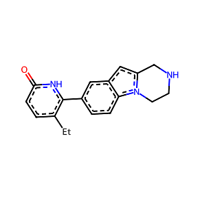 CCc1ccc(=O)[nH]c1-c1ccc2c(c1)cc1n2CCNC1